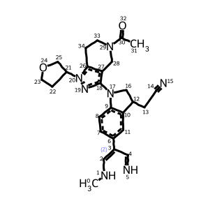 CN/C=C(\C=N)c1ccc2c(c1)C(CC#N)CN2c1nn(C2CCOC2)c2c1CN(C(C)=O)CC2